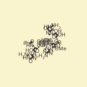 CO[C@@H]1[C@H](P(=O)([O-])OC[C@H]2O[C@@H](n3cnc4c(=O)[nH]c(N)nc43)[C@H](O)[C@@H]2O)[C@@H](COP(=O)(O)OP(=O)(O)OP(=O)(O)OC[C@H]2O[C@@H](n3c[n+](C)c4c(=O)[nH]c(N)nc43)[C@H](O)[C@@H]2CNC(=O)C(C)C)O[C@H]1n1cnc2c(N)ncnc21